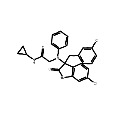 O=C(CN(c1ccccc1)C1(Cc2cccc(Cl)c2)C(=O)Nc2cc(Cl)ccc21)NC1CC1